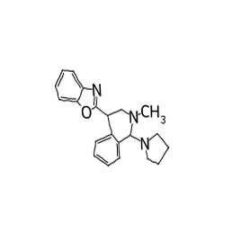 CN1CC(c2nc3ccccc3o2)c2ccccc2C1N1CCCC1